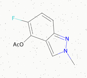 CC(=O)Oc1c(F)ccc2nn(C)cc12